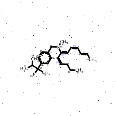 C/C=C/C=C\C=C(\C=C/CCC)N(C)Cc1ccc(C(C)(F)C(C)C)cc1